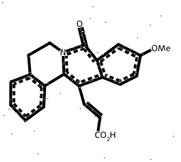 COc1ccc2c(/C=C/C(=O)O)c3n(c(=O)c2c1)CCc1ccccc1-3